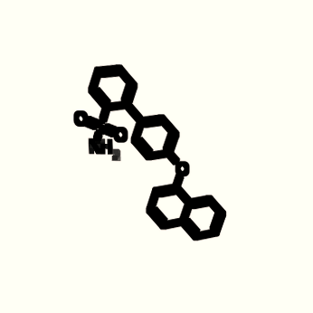 NS(=O)(=O)c1ccccc1-c1ccc(Oc2cccc3ccccc23)cc1